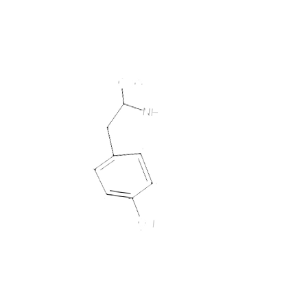 [NH]C([C]=O)Cc1ccc(O)cc1